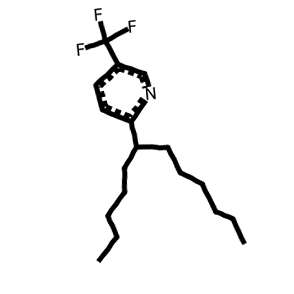 CCCCCCC(CCCCC)c1ccc(C(F)(F)F)cn1